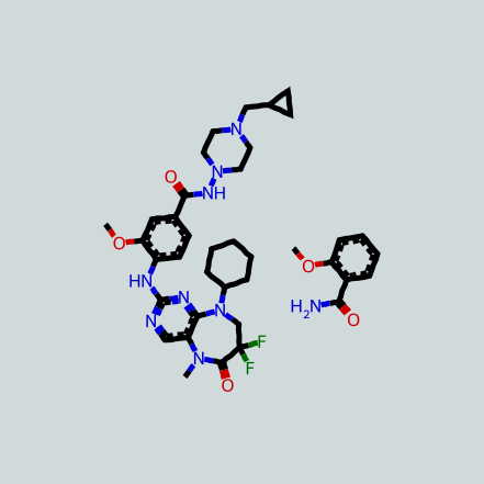 COc1cc(C(=O)NN2CCN(CC3CC3)CC2)ccc1Nc1ncc2c(n1)N(C1CCCCC1)CC(F)(F)C(=O)N2C.COc1ccccc1C(N)=O